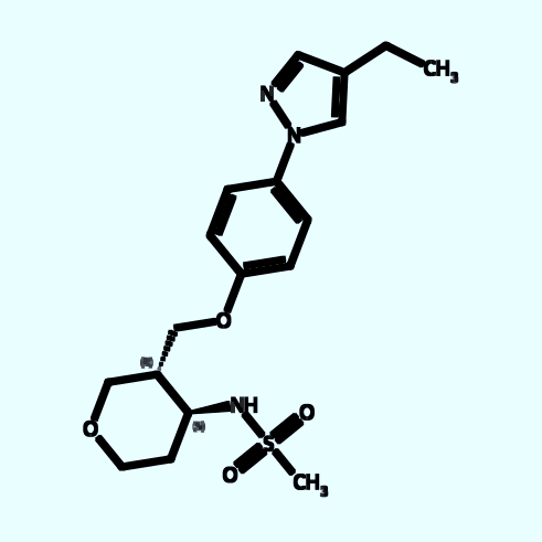 CCc1cnn(-c2ccc(OC[C@H]3COCC[C@@H]3NS(C)(=O)=O)cc2)c1